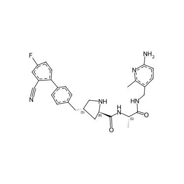 Cc1nc(N)ccc1CNC(=O)[C@H](C)NC(=O)[C@H]1C[C@H](Cc2ccc(-c3ccc(F)cc3C#N)cc2)CN1